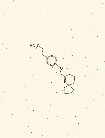 O=C(O)CCc1ccc(OCC2=CC3(CCCC3)CCC2)nc1